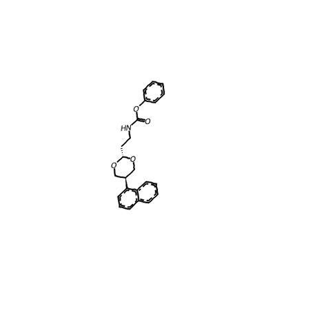 O=C(NCC[C@H]1OC[C@H](c2cccc3ccccc32)CO1)Oc1ccccc1